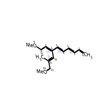 C=C/C=C/C=C/C(=C/COC)/C=C(\C)COC